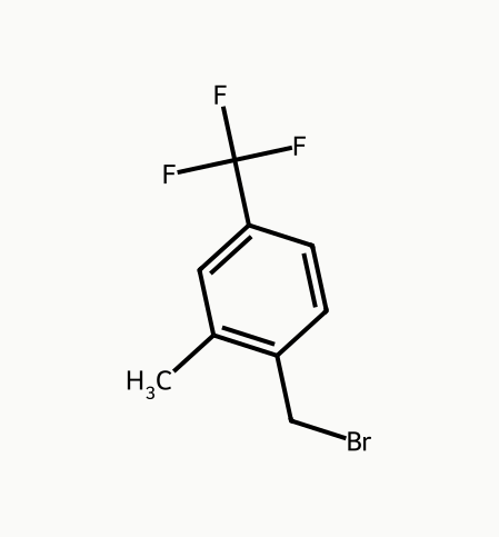 Cc1cc(C(F)(F)F)ccc1CBr